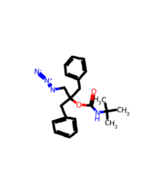 CC(C)(C)NC(=O)OC(CN=[N+]=[N-])(Cc1ccccc1)Cc1ccccc1